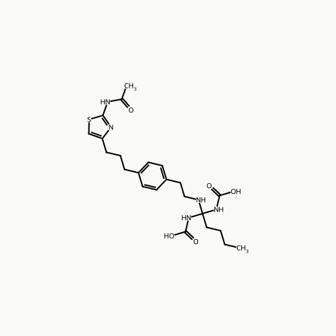 CCCCC(NCCc1ccc(CCCc2csc(NC(C)=O)n2)cc1)(NC(=O)O)NC(=O)O